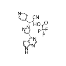 N#CCC(c1ccncc1)n1cc(-c2ncnc3[nH]ccc23)cn1.O=C(O)C(F)(F)F